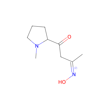 C/C(CC(=O)C1CCCN1C)=N/O